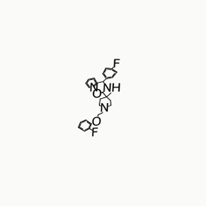 CC1(C(=O)NC(c2ccc(F)cc2)c2ccccn2)CCN(CCOc2ccccc2F)CC1